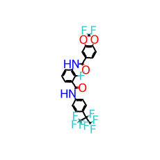 O=C(Nc1cccc(C(=O)Nc2ccc(C(F)(C(F)(F)F)C(F)(F)F)cc2)c1F)c1ccc2c(c1)OC(F)(F)O2